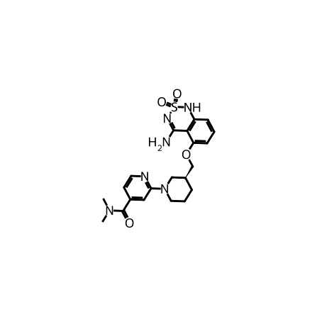 CN(C)C(=O)c1ccnc(N2CCC[C@H](COc3cccc4c3C(N)=NS(=O)(=O)N4)C2)c1